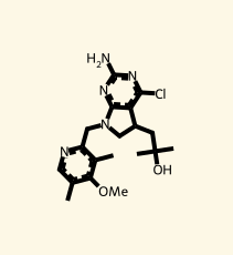 COc1c(C)cnc(CN2CC(CC(C)(C)O)c3c(Cl)nc(N)nc32)c1C